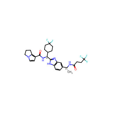 C[C@@H](NC(=O)CCC(F)(F)F)c1ccc2[nH]c([C@@H](NC(=O)c3ccn4c3CCC4)C3CCC(F)(F)CC3)nc2c1